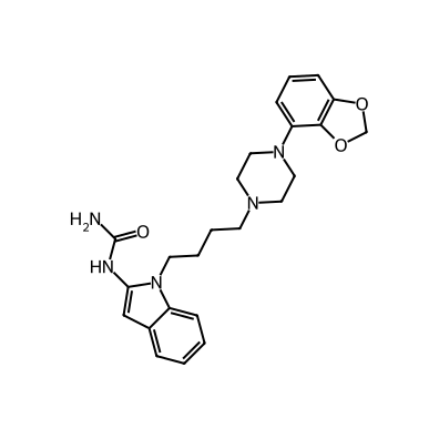 NC(=O)Nc1cc2ccccc2n1CCCCN1CCN(c2cccc3c2OCO3)CC1